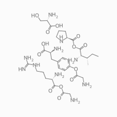 CC[C@H](C)[C@H](N)C(=O)OC(=O)[C@@H]1CCCN1.N=C(N)NCCC[C@H](N)C(=O)OC(=O)CN.NCC(=O)Oc1ccc(C[C@H](N)C(=O)O)cc1.N[C@@H](CO)C(=O)O